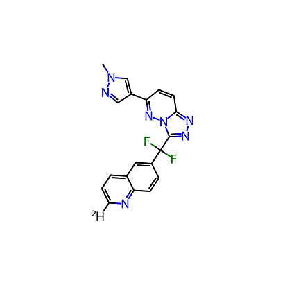 [2H]c1ccc2cc(C(F)(F)c3nnc4ccc(-c5cnn(C)c5)nn34)ccc2n1